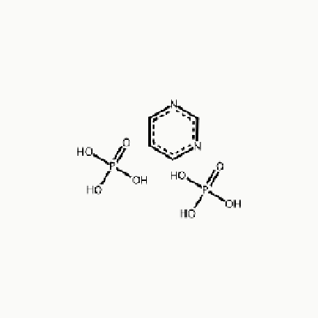 O=P(O)(O)O.O=P(O)(O)O.c1cncnc1